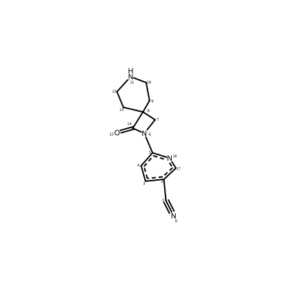 N#Cc1ccc(N2CC3(CCNCC3)C2=O)nc1